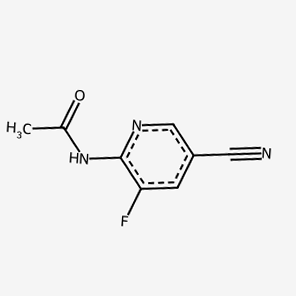 CC(=O)Nc1ncc(C#N)cc1F